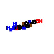 NNOc1ccc(C2=Nc3ccc4c5c(ccc(c35)S2)N=C(c2ccc(O)cc2)S4)cc1